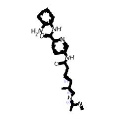 C=N\C(C)=N/C=C(C)/C=C/CC(=O)Nc1ccc(C(=O)Nc2ccccc2N)nc1